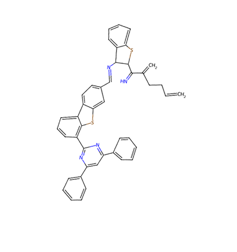 C=CCCC(=C)C(=N)C1Sc2ccccc2C1/N=C/c1ccc2c(c1)sc1c(-c3nc(-c4ccccc4)cc(-c4ccccc4)n3)cccc12